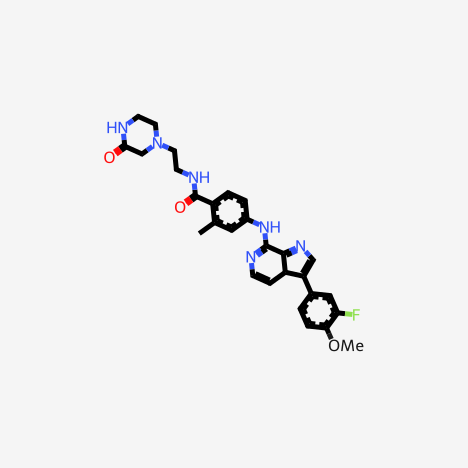 COc1ccc(C2=CN=C3C(Nc4ccc(C(=O)NCCN5CCNC(=O)C5)c(C)c4)=NC=CC23)cc1F